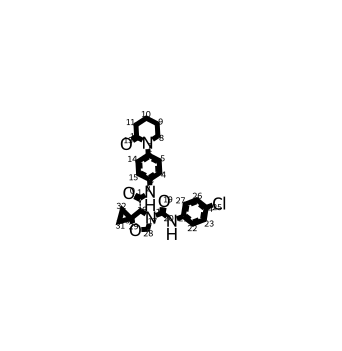 O=C(Nc1ccc(N2CCCCC2=O)cc1)[C@@H]1N(C(=O)Nc2ccc(Cl)cc2)COC12CC2